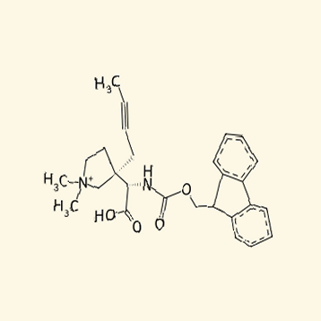 CC#CC[C@@]1([C@H](NC(=O)OCC2c3ccccc3-c3ccccc32)C(=O)O)CC[N+](C)(C)C1